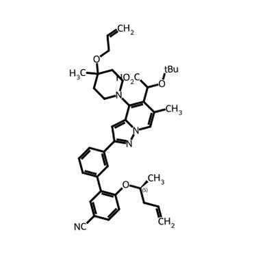 C=CCOC1(C)CCN(c2c(C(OC(C)(C)C)C(=O)O)c(C)cn3nc(-c4cccc(-c5cc(C#N)ccc5O[C@@H](C)CC=C)c4)cc23)CC1